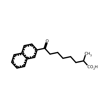 CC(CCCCCC(=O)c1ccc2ccccc2c1)C(=O)O